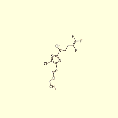 CCO/N=C/c1nc([S+]([O-])CCC(F)=C(F)F)sc1Cl